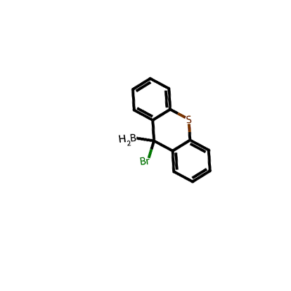 BC1(Br)c2ccccc2Sc2ccccc21